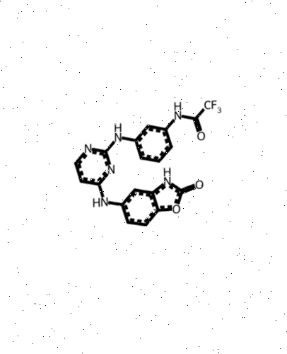 O=C(Nc1cccc(Nc2nccc(Nc3ccc4oc(=O)[nH]c4c3)n2)c1)C(F)(F)F